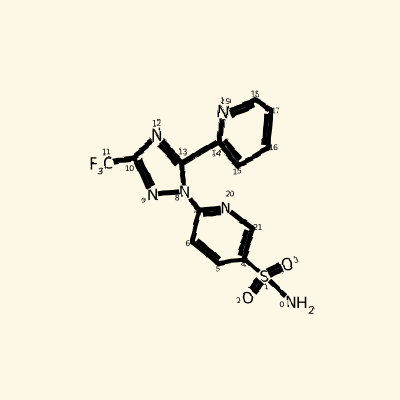 NS(=O)(=O)c1ccc(-n2nc(C(F)(F)F)nc2-c2ccccn2)nc1